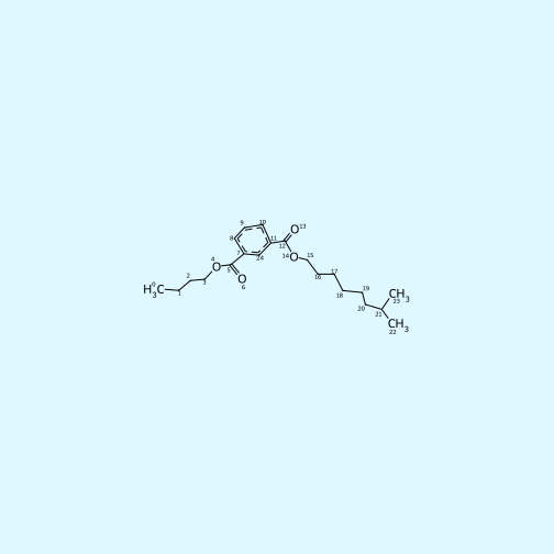 CCCCOC(=O)c1cccc(C(=O)OCCCCCCC(C)C)c1